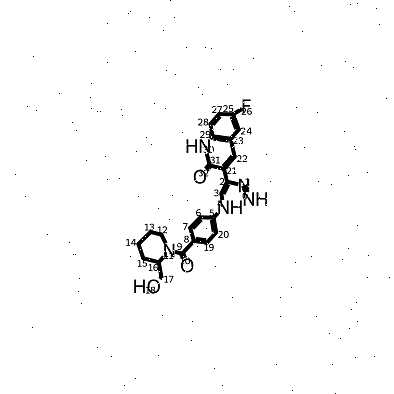 N=N/C(=C\Nc1ccc(C(=O)N2CCCCC2CO)cc1)c1cc2cc(F)ccc2[nH]c1=O